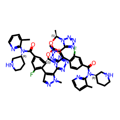 Cc1cccnc1N(C(=O)c1ccc(-c2cnn(C)c2-c2nnnn2[C@H](C)OC(=O)O[C@@H](C)n2nnnc2-c2c(-c3ccc(C(=O)N(c4ncccc4C)[C@@H]4CCCNC4)cc3F)cnn2C)c(F)c1)[C@@H]1CCCNC1